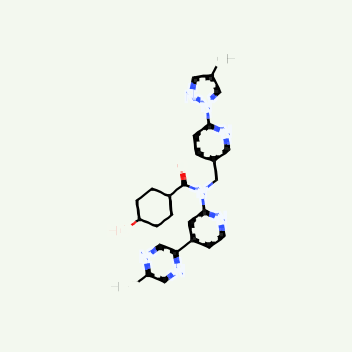 Cc1cnn(-c2ccc(CN(C(=O)C3CCC(O)CC3)c3cc(-c4cnc(C)cn4)ccn3)cn2)c1